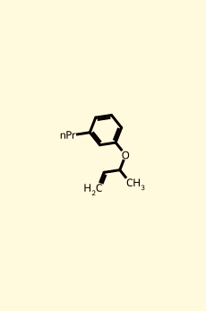 [CH2]CCc1cccc(OC(C)C=C)c1